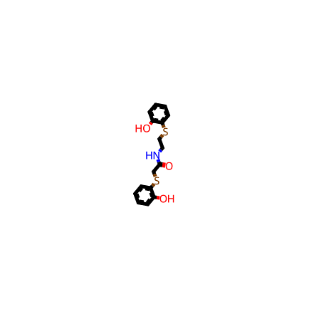 O=C(CSc1ccccc1O)NCCSc1ccccc1O